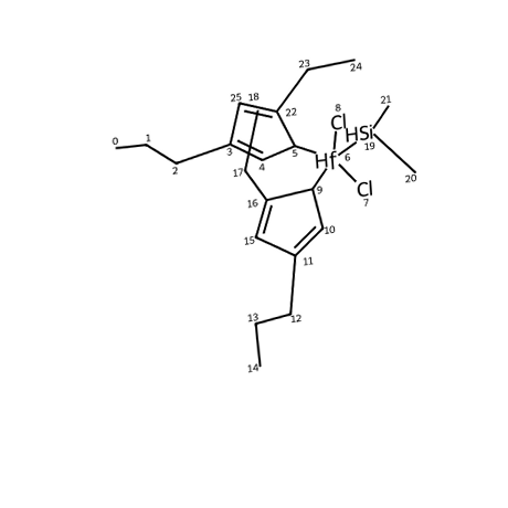 CCCC1=C[CH]([Hf]([Cl])([Cl])([CH]2C=C(CCC)C=C2CC)[SiH](C)C)C(CC)=C1